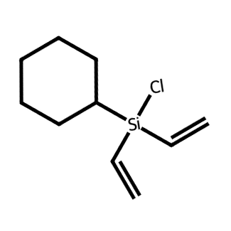 C=C[Si](Cl)(C=C)C1CCCCC1